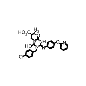 C[C@@H](CN1C(=O)N/C(=N\c2ccc(Oc3ccccn3)cc2)N(Cc2ccc(Cl)cc2)C1O)C(=O)O